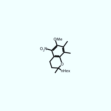 CCCCCCC1(C)CCc2c(c(C)c(C)c(OC)c2[N+](=O)[O-])O1